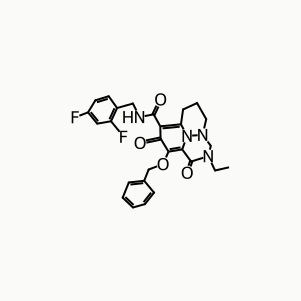 CCN1CN2CCCc3c(C(=O)NCc4ccc(F)cc4F)c(=O)c(OCc4ccccc4)c(n32)C1=O